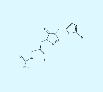 NC(=O)OCC(=CF)Cn1ncn(Cc2ccc(Br)s2)c1=O